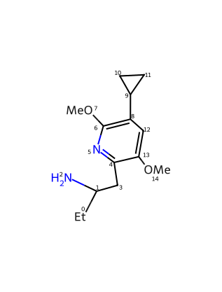 CCC(N)Cc1nc(OC)c(C2CC2)cc1OC